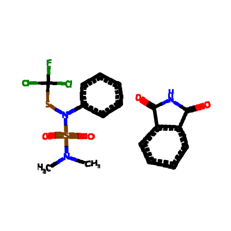 CN(C)S(=O)(=O)N(SC(F)(Cl)Cl)c1ccccc1.O=C1NC(=O)c2ccccc21